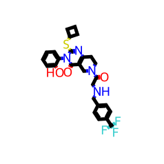 O=C(CNCc1ccc(C(F)(F)F)cc1)N1CCc2nc(SC3CCC3)n(-c3ccccc3O)c(=O)c2C1